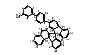 Brc1cccc(-c2ccc(-c3ccc4c(c3)C3(c5ccccc5-4)c4ccccc4-c4c3ccc3ccccc43)cc2)c1